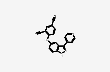 N#Cc1ccc(Nc2ccc3[nH]nc(-c4ccncc4)c3c2)c(C#N)c1